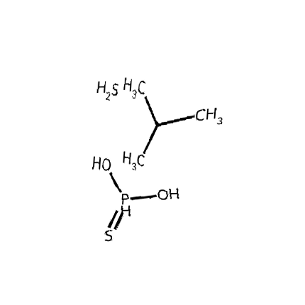 CC(C)C.O[PH](O)=S.S